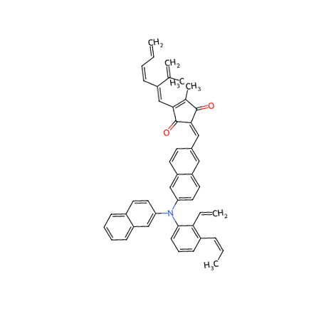 C=C/C=C\C(=C\C1=C(C)C(=O)/C(=C/c2ccc3cc(N(c4ccc5ccccc5c4)c4cccc(/C=C\C)c4C=C)ccc3c2)C1=O)C(=C)C